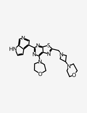 c1cc2c(-c3nc(N4CCOCC4)c4nc(CN5CC(N6CCOCC6)C5)sc4n3)cncc2[nH]1